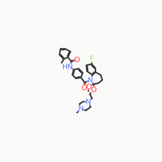 COC1(OCCN2CCN(C)CC2)CCCc2cc(F)ccc2N1C(=O)c1ccc(NC(=O)c2ccccc2C)cc1